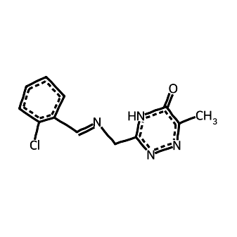 Cc1nnc(CN=Cc2ccccc2Cl)[nH]c1=O